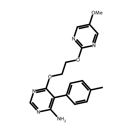 COc1cnc(OCCOc2ncnc(N)c2-c2ccc(C)cc2)nc1